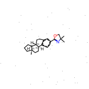 CC1(C)COC(c2ccc3c(c2)CC[C@@H]2[C@@H]3CC[C@]3(C)CCC[C@@H]23)=N1